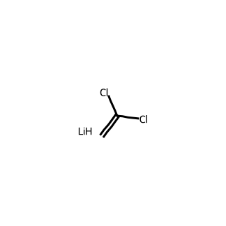 C=C(Cl)Cl.[LiH]